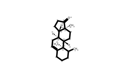 CC1CCCC2=CC[C@H]3[C@@H]4CCC(=O)[C@@]4(C)CC[C@@H]3[C@]21C